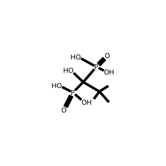 CC(C)(C)C(O)(P(=O)(O)O)P(=O)(O)O